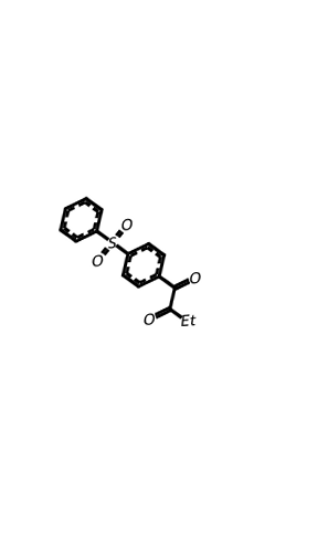 CCC(=O)C(=O)c1ccc(S(=O)(=O)c2ccccc2)cc1